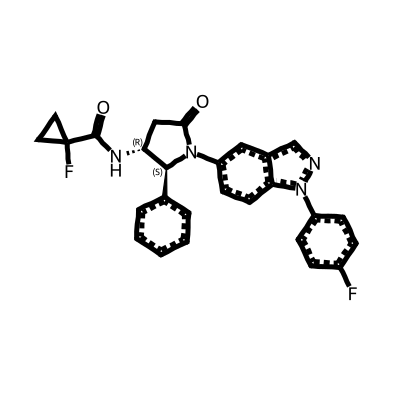 O=C1C[C@@H](NC(=O)C2(F)CC2)[C@H](c2ccccc2)N1c1ccc2c(cnn2-c2ccc(F)cc2)c1